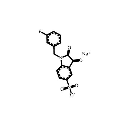 O=C1C(=O)N(Cc2cccc(F)c2)c2ccc(S(=O)(=O)[O-])cc21.[Na+]